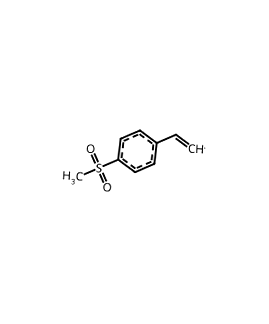 [CH]=Cc1ccc(S(C)(=O)=O)cc1